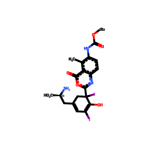 Cc1c(NC(=O)OC(C)(C)C)ccc2nc(C3(I)CC(C[C@H](N)C(=O)O)=CC(I)=C3O)oc(=O)c12